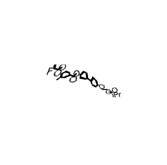 C=C(F)C(=O)Oc1ccc(C(=O)Oc2ccc(-c3ccc(OCCOC(=O)C(C)C)cc3)cc2)cc1C